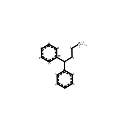 [SiH3][CH]CC(c1ccccc1)c1ccccc1